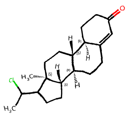 CC(Cl)C1CC[C@H]2[C@@H]3CCC4=CC(=O)CC[C@@H]4[C@H]3CC[C@]12C